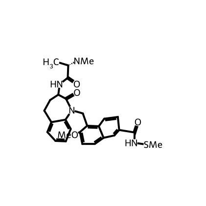 CN[C@@H](C)C(=O)NC1CCc2ccccc2N(Cc2c(OC)ccc3cc(C(=O)NSC)ccc23)C1=O